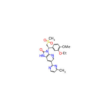 CCOc1cc([C@H](CS(C)(=O)=O)n2c(=O)[nH]c3cc(-c4nccc(C)n4)cnc32)ccc1OC